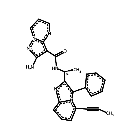 CC#Cc1cccc2nc([C@H](C)NC(=O)c3c(N)nn4cccnc34)c(-c3ccccc3)n12